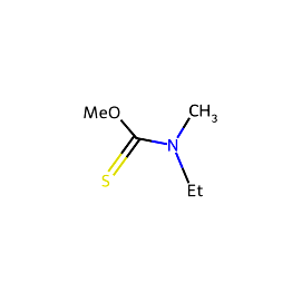 CCN(C)C(=S)OC